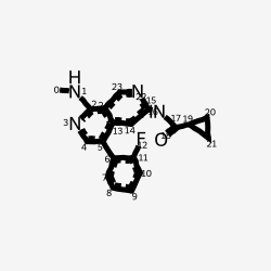 CNc1ncc(-c2ccccc2F)c2cc(NC(=O)C3CC3)ncc12